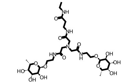 CCNC(=O)CCNC(=O)CN(CC(=O)NCCO[C@@H]1O[C@@H](C)[C@@H](O)[C@@H](O)[C@@H]1O)CC(=O)NCCO[C@@H]1O[C@@H](C)[C@@H](O)[C@@H](O)[C@@H]1O